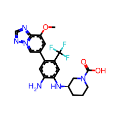 COc1cc(-c2cc(N)c(N[C@@H]3CCCN(C(=O)O)C3)cc2C(F)(F)F)cn2ncnc12